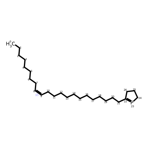 CCCCCCCC/C=C\CCCCCCCCCCCCC1=PCCC1